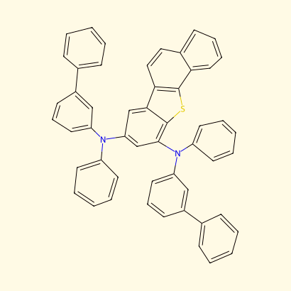 c1ccc(-c2cccc(N(c3ccccc3)c3cc(N(c4ccccc4)c4cccc(-c5ccccc5)c4)c4sc5c6ccccc6ccc5c4c3)c2)cc1